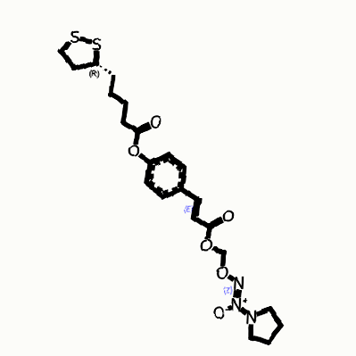 O=C(/C=C/c1ccc(OC(=O)CCCC[C@@H]2CCSS2)cc1)OCO/N=[N+](\[O-])N1CCCC1